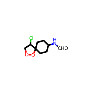 O=CNC1CCC2(CC1)OOCC2Cl